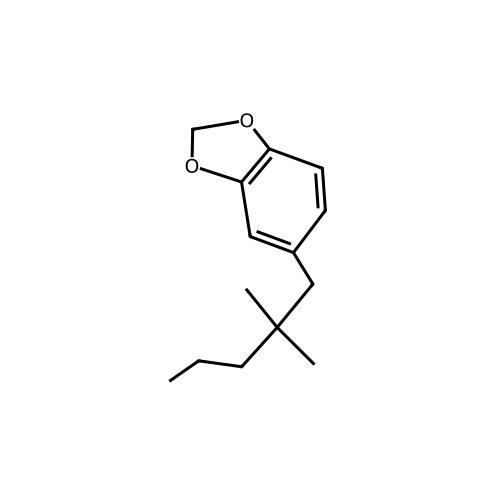 CCCC(C)(C)Cc1ccc2c(c1)OCO2